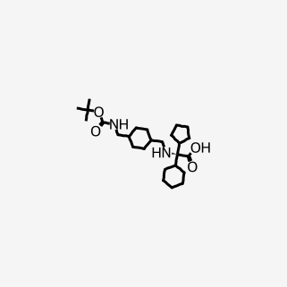 CC(C)(C)OC(=O)NCC1CCC(CN[C@](C(=O)O)(C2CCCCC2)C2CCCC2)CC1